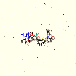 COc1ccccc1NC(=O)C(C(N)=O)c1ccc(Oc2ccnc3cc(-c4ccc(=O)n(CCN(C)C)c4)sc23)c(F)c1